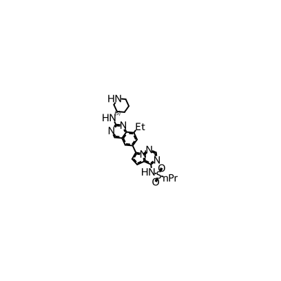 CCCS(=O)(=O)Nc1ncnn2c(-c3cc(CC)c4nc(N[C@H]5CCCNC5)ncc4c3)ccc12